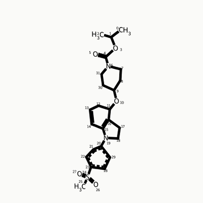 CC(C)OC(=O)N1CCC(OC2CC=CC3=C2CCN3c2ccc(S(C)(=O)=O)cc2)CC1